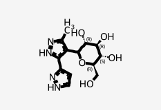 Cc1n[nH]c(-c2cc[nH]n2)c1C1O[C@H](CO)[C@@H](O)[C@H](O)[C@H]1O